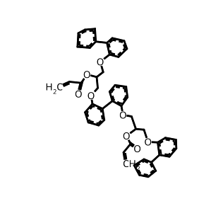 C=CC(=O)OC(COc1ccccc1-c1ccccc1)COc1ccccc1-c1ccccc1OCC(COc1ccccc1-c1ccccc1)OC(=O)C=C